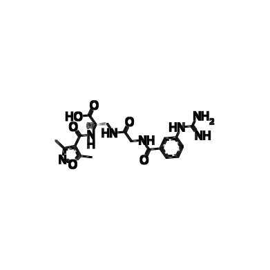 Cc1noc(C)c1C(=O)N[C@@H](CNC(=O)CNC(=O)c1cccc(NC(=N)N)c1)C(=O)O